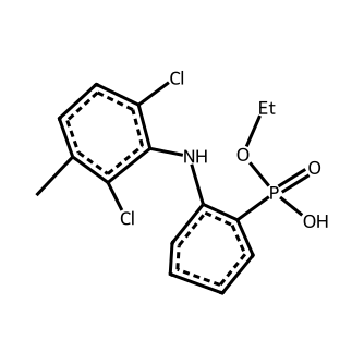 CCOP(=O)(O)c1ccccc1Nc1c(Cl)ccc(C)c1Cl